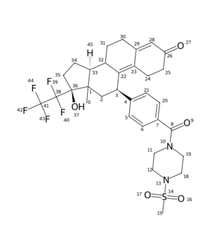 CC12C[C@H](c3ccc(C(=O)N4CCN(S(C)(=O)=O)CC4)cc3)C3=C4CCC(=O)C=C4CCC3[C@@H]1CC[C@@]2(O)C(F)(F)C(F)(F)F